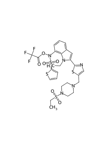 CCn1c(-c2ncc(CN3CCN(S(=O)(=O)CC)CC3)s2)cc2cccc(N(OC(=O)C(F)(F)F)S(=O)(=O)c3cccs3)c21